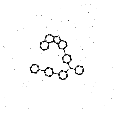 c1ccc(-c2ccc(-c3cccc(N(c4ccccc4)c4ccc(-c5ccc6sc7ccc8ccccc8c7c6c5)cc4)c3)cc2)cc1